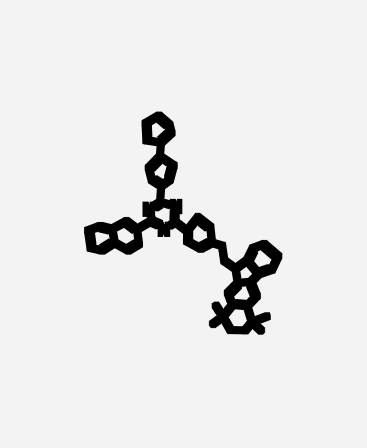 CC1(C)CCC(C)(C)c2cc3c(cc21)-c1ccccc1C3CCc1ccc(-c2nc(-c3ccc(-c4ccccc4)cc3)nc(-c3ccc4ccccc4c3)n2)cc1